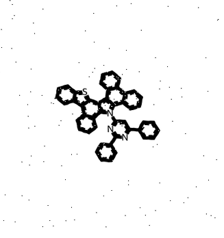 c1ccc(-c2cc(-n3c4c5ccccc5c5ccccc5c4c4c5sc6ccccc6c5c5ccccc5c43)nc(-c3ccccc3)n2)cc1